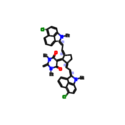 C=c1n(CC)c(=O)c(=C2/C(=C/C=c3\c4cccc5c(Cl)ccc(c54)n3CC)CC/C2=C\C=c2/c3cccc4c(Cl)ccc(c43)n2CC)c(=O)n1CC